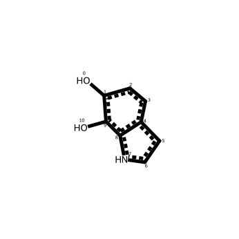 Oc1ccc2cc[nH]c2c1O